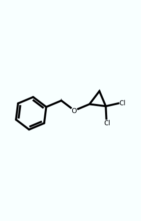 ClC1(Cl)CC1O[CH]c1ccccc1